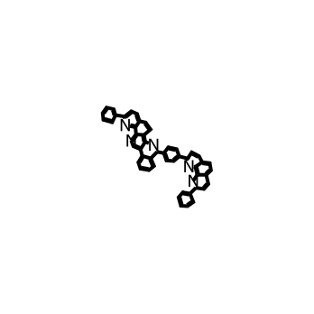 c1ccc(-c2ccc3ccc4ccc(-c5ccc(-c6nc7c(cnc8c7ccc7ccc(-c9ccccc9)nc78)c7ccccc67)cc5)nc4c3n2)cc1